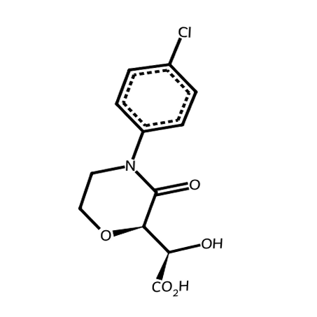 O=C(O)[C@H](O)[C@H]1OCCN(c2ccc(Cl)cc2)C1=O